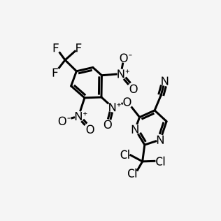 N#Cc1cnc(C(Cl)(Cl)Cl)nc1O[N+](=O)c1c([N+](=O)[O-])cc(C(F)(F)F)cc1[N+](=O)[O-]